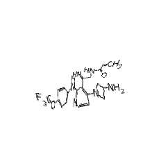 C=CC(=O)NCC(=N)c1c(N2CC(N)C2)ccnc1Nc1ccc(OC(F)(F)F)cc1